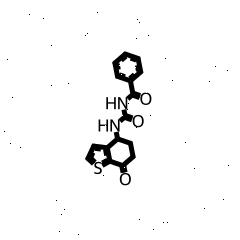 O=C(NC(=O)c1ccccc1)NC1CCC(=O)c2sccc21